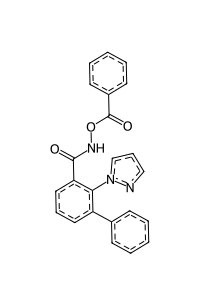 O=C(ONC(=O)c1cccc(-c2ccccc2)c1-n1cccn1)c1ccccc1